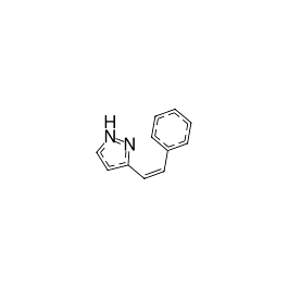 C(=C/c1cc[nH]n1)/c1ccccc1